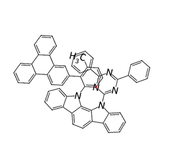 Cc1cccc(-n2c3ccccc3c3ccc4c5ccccc5n(-c5nc(-c6ccccc6)nc(-c6ccccc6)n5)c4c32)c1-c1ccc2c3ccccc3c3ccccc3c2c1